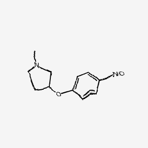 CN1CCC(Oc2ccc(N=O)cc2)C1